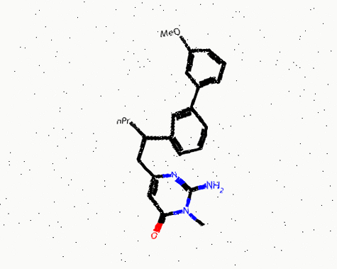 CCCC(Cc1cc(=O)n(C)c(N)n1)c1cccc(-c2cccc(OC)c2)c1